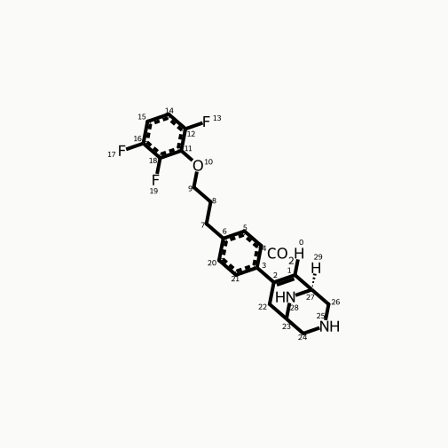 O=C(O)C1=C(c2ccc(CCCOc3c(F)ccc(F)c3F)cc2)CC2CNC[C@H]1N2